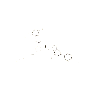 CC(=O)c1nn(CC(=O)N2[C@H](I)[C@@H](CCCCN(C)C)C[C@H]2C(=O)Nc2nc(Br)ccc2C)c2c(CF)cc(-c3cnc(C)nc3)cc12